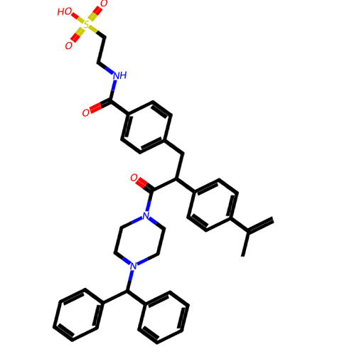 C=C(C)c1ccc(C(Cc2ccc(C(=O)NCCS(=O)(=O)O)cc2)C(=O)N2CCN(C(c3ccccc3)c3ccccc3)CC2)cc1